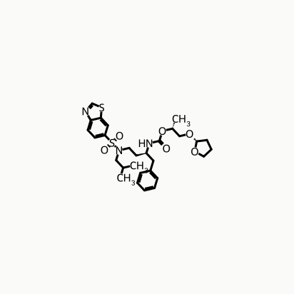 CC(C)CN(CC[C@H](Cc1ccccc1)NC(=O)O[C@H](C)CO[C@@H]1CCCO1)S(=O)(=O)c1ccc2ncsc2c1